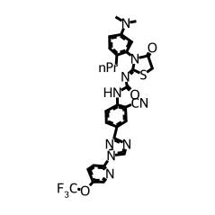 CCCc1ccc(N(C)C)cc1N1C(=O)CS/C1=N\C(=O)Nc1ccc(-c2ncn(-c3ccc(OC(F)(F)F)cn3)n2)cc1C#N